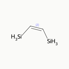 [SiH3]/C=C\[SiH3]